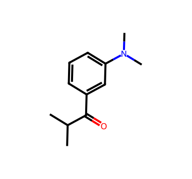 CC(C)C(=O)c1cccc(N(C)C)c1